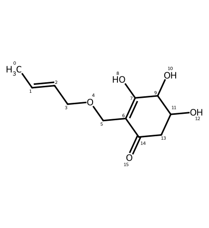 C/C=C/COCC1=C(O)C(O)C(O)CC1=O